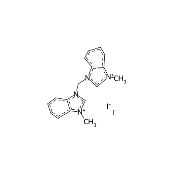 C[n+]1cn(Cn2c[n+](C)c3ccccc32)c2ccccc21.[I-].[I-]